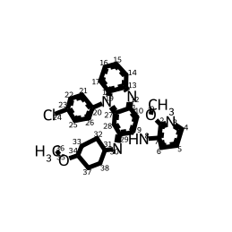 COc1ncccc1Nc1cc2nc3ccccc3n(-c3ccc(Cl)cc3)c-2c/c1=N\C1CCC(OC)CC1